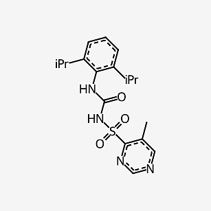 Cc1cncnc1S(=O)(=O)NC(=O)Nc1c(C(C)C)cccc1C(C)C